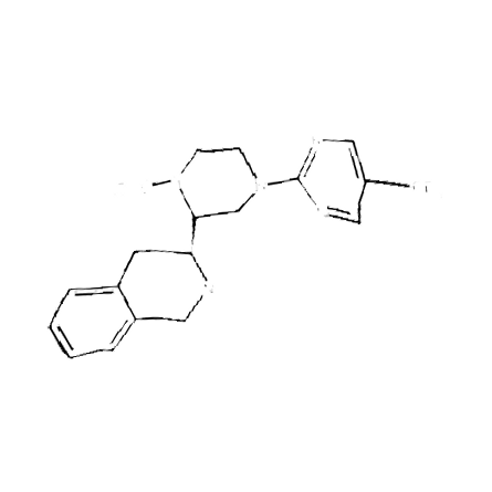 O=CN1CCN(c2ncc(C(F)(F)F)cn2)CC1[C@@H]1Cc2ccccc2CN1